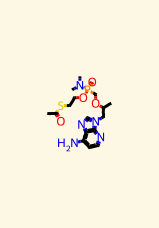 CC(=O)SCCOP(=O)(COC(C)Cn1cnc2c(N)ccnc21)N(C)C